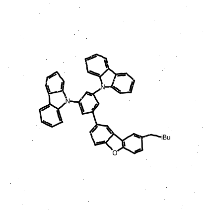 CCC(C)Cc1ccc2oc3ccc(-c4cc(-n5c6ccccc6c6ccccc65)cc(-n5c6ccccc6c6ccccc65)c4)cc3c2c1